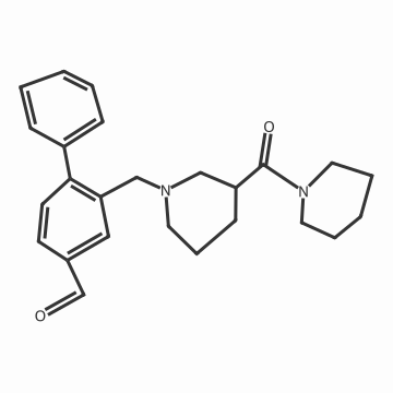 O=Cc1ccc(-c2ccccc2)c(CN2CCCC(C(=O)N3CCCCC3)C2)c1